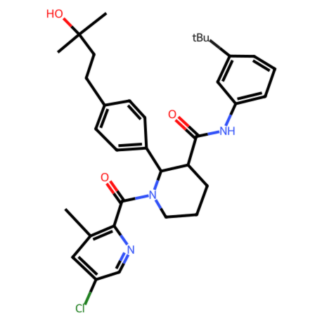 Cc1cc(Cl)cnc1C(=O)N1CCCC(C(=O)Nc2cccc(C(C)(C)C)c2)C1c1ccc(CCC(C)(C)O)cc1